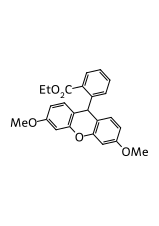 CCOC(=O)c1ccccc1C1c2ccc(OC)cc2Oc2cc(OC)ccc21